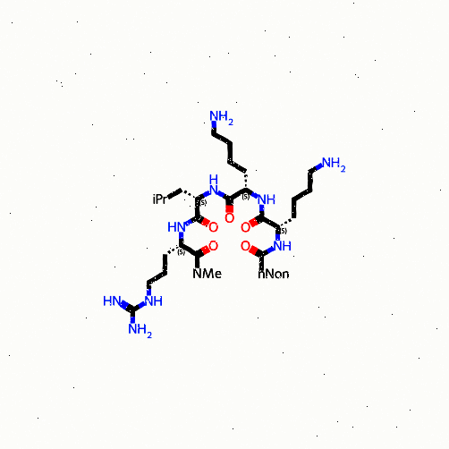 CCCCCCCCCC(=O)N[C@@H](CCCCN)C(=O)N[C@@H](CCCCN)C(=O)N[C@@H](CC(C)C)C(=O)N[C@@H](CCCNC(=N)N)C(=O)NC